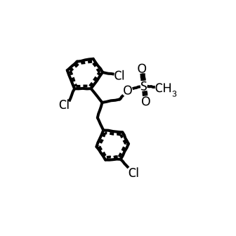 CS(=O)(=O)OCC(Cc1ccc(Cl)cc1)c1c(Cl)cccc1Cl